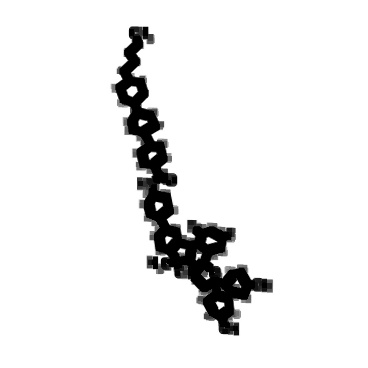 CCCCCC1CCC(c2ccc(-c3ccc(C(=O)Nc4ccc(-c5ccc6c(c5)-c5c(c7c(c8cc(F)cc(F)c58)OC(c5ccc(O)cc5)(c5ccc(O)cc5)C=C7)C6(C)C)cc4)cc3)cc2)CC1